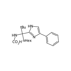 CCCCCCC(NC(=O)O)(c1nc(-c2ccccc2)c[nH]1)C(C)(C)C